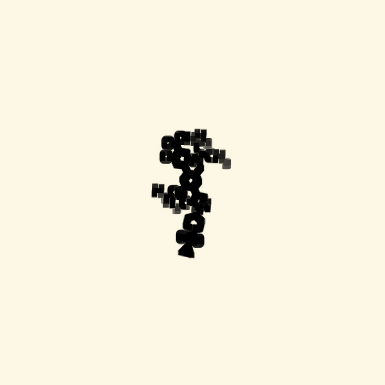 COc1cc2c(cc1C1C=NN(C3CCN(S(=O)(=O)C4CC4)CC3)C1C)CN(C(C)C)n1cc(C(=O)O)c(=O)cc1-2